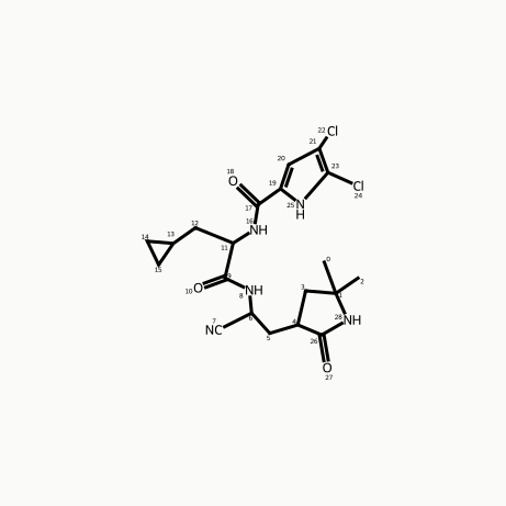 CC1(C)CC(CC(C#N)NC(=O)C(CC2CC2)NC(=O)c2cc(Cl)c(Cl)[nH]2)C(=O)N1